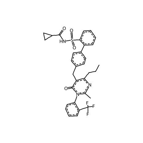 CCCc1nc(C)n(-c2ccccc2C(F)(F)F)c(=O)c1Cc1ccc(-c2ccccc2S(=O)(=O)NC(=O)C2CC2)cc1